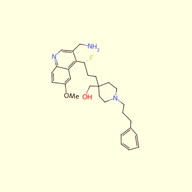 COc1ccc2ncc(CN)c([C@H](F)CCC3(CO)CCN(CCCc4ccccc4)CC3)c2c1